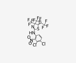 O=[N+]([O-])c1c(NC2=NC(C(F)(F)F)(C(F)(F)F)C(=C(F)C(F)(F)F)S2)ccc(Cl)c1Cl